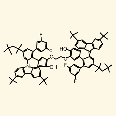 CC(C)(C)CC(C)(C)c1cc(-c2cc(F)cc(F)c2)c(-c2ccc(O)c(OCCOc3cc(-c4c(-c5cc(F)cc(F)c5)cc(C(C)(C)CC(C)(C)C)cc4-n4c5ccc(C(C)(C)C)cc5c5cc(C(C)(C)C)ccc54)ccc3O)c2)c(-n2c3ccc(C(C)(C)C)cc3c3cc(C(C)(C)C)ccc32)c1